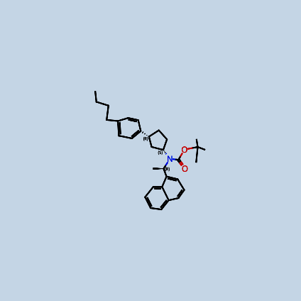 CCCCc1ccc([C@@H]2CC[C@H](N(C(=O)OC(C)(C)C)[C@H](C)c3cccc4ccccc34)C2)cc1